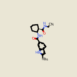 CCCCc1cc2ccc(C(=O)N[C@H]3CCCC[C@H]3C(=O)NCC#N)cc2[nH]1